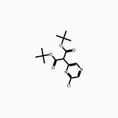 CC(C)(C)OC(=O)C(C(=O)OC(C)(C)C)c1cncc(Cl)n1